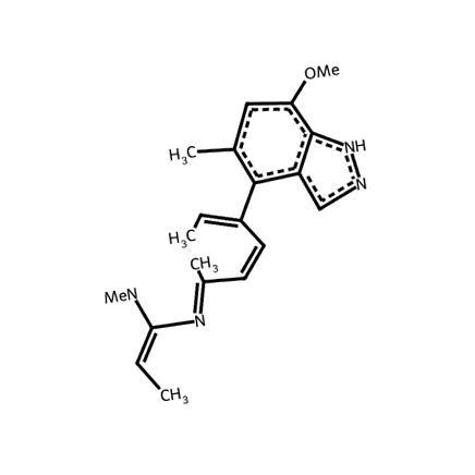 C\C=C(/N=C(C)/C=C\C(=C/C)c1c(C)cc(OC)c2[nH]ncc12)NC